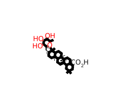 CC1O[C@@H](C[C@H]2CC[C@@]3(C)C(CC[C@]4(C)C3CC=C3C5CC(C)(C)CC[C@]5(C(=O)O)CC[C@]34C)C2(C)C)C(O)C(O)[C@@H]1O